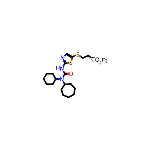 CCOC(=O)CCSc1cnc(NC(=O)N(C2CCCCCC2)C2CCCCC2)s1